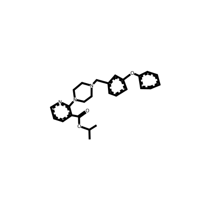 CC(C)OC(=O)c1cccnc1N1CCN(Cc2cccc(Oc3ccccc3)c2)CC1